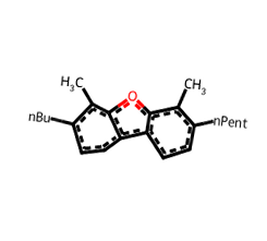 CCCCCc1ccc2c(oc3c(C)c(CCCC)ccc32)c1C